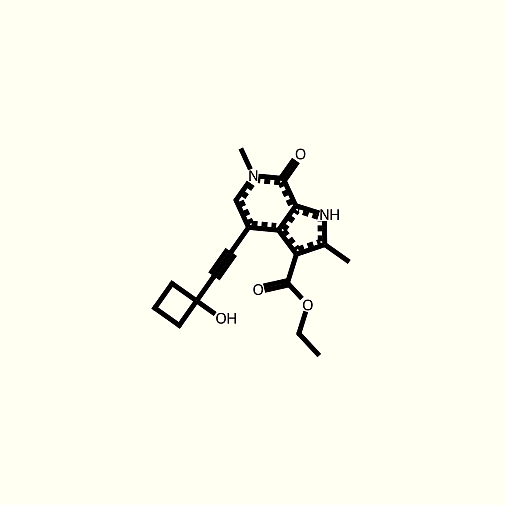 CCOC(=O)c1c(C)[nH]c2c(=O)n(C)cc(C#CC3(O)CCC3)c12